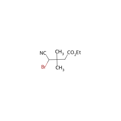 CCOC(=O)CC(C)(C)C(Br)C#N